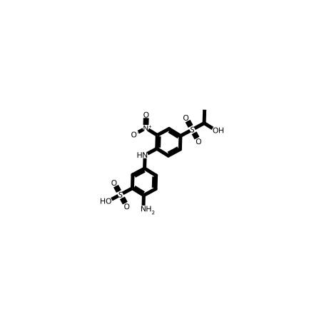 CC(O)S(=O)(=O)c1ccc(Nc2ccc(N)c(S(=O)(=O)O)c2)c([N+](=O)[O-])c1